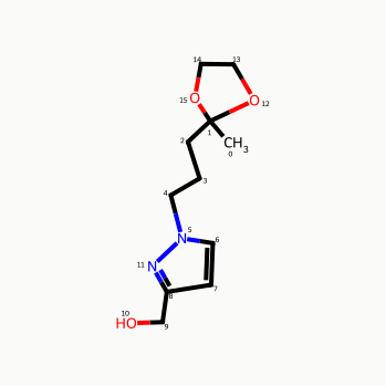 CC1(CCCn2ccc(CO)n2)OCCO1